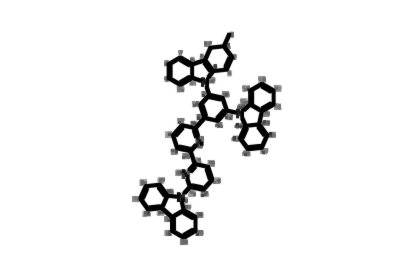 CC1C=Cc2c(c3ccccc3n2-c2cc(-c3cccc(-c4cccc(-n5c6ccccc6c6ccccc65)n4)n3)cc(-n3c4ccccc4c4ccccc43)c2)C1